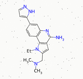 CCn1c(CN(C)C)cc2c(N)nc3cc(-c4ccn[nH]4)ccc3c21